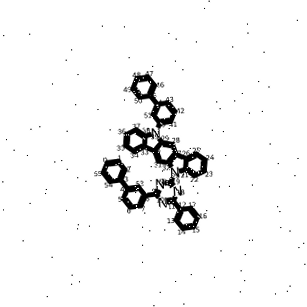 c1ccc(-c2cccc(-c3nc(-c4ccccc4)nc(-n4c5ccccc5c5cc6c(cc54)c4ccccc4n6-c4cccc(-c5ccccc5)c4)n3)c2)cc1